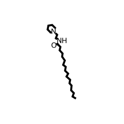 CCCCCCCCCCCCCCCCCC(=O)NCCN1CCCCC1